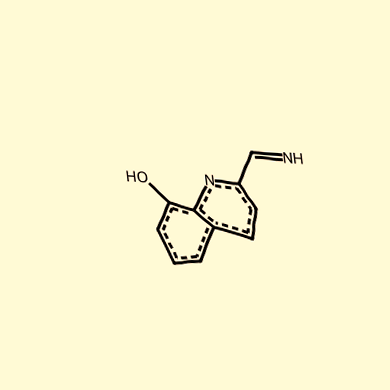 N=Cc1ccc2cccc(O)c2n1